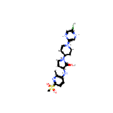 Cc1nc(S(C)(=O)=O)ccc1N[C@H]1CCN(C2CCN(c3cnc(Cl)cn3)CC2)C1=O